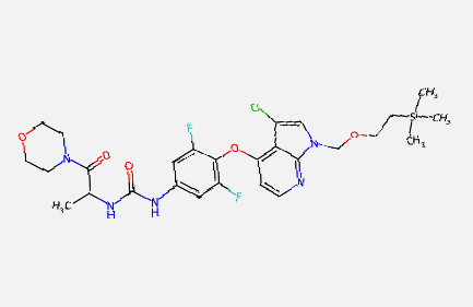 CC(NC(=O)Nc1cc(F)c(Oc2ccnc3c2c(Cl)cn3COCC[Si](C)(C)C)c(F)c1)C(=O)N1CCOCC1